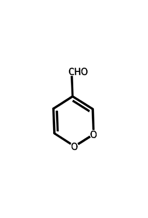 O=CC1=COOC=C1